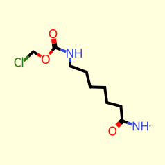 [NH]C(=O)CCCCCCNC(=O)OCCl